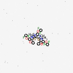 CN1c2cc(Oc3c(F)cccc3F)cc3c2B(c2ccccc2O3)c2sc3c(c21)N(C)c1cc(Oc2c(F)cccc2F)cc2c1B3c1sc3c(c1N2C)N(C)c1cc(Oc2c(F)cccc2F)cc2c1B3c1ccccc1O2